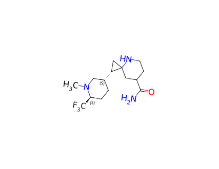 CN1C[C@H](C2CC23CC(C(N)=O)CCN3)CC[C@H]1C(F)(F)F